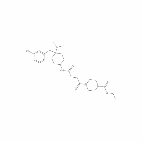 CCOC(=O)N1CCN(C(=O)CCC(=O)NC2CCC(Cc3cccc(Cl)c3)(N(C)C)CC2)CC1